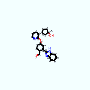 C[C@@]1(O)CC[C@@H](c2cccnc2Oc2ccc(C=O)c(-c3nc4ccccc4[nH]3)c2)C1